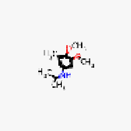 COc1cc(NC(C)C)cc(C)c1OC